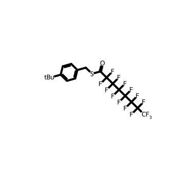 CC(C)(C)c1ccc(CSC(=O)C(F)(F)C(F)(F)C(F)(F)C(F)(F)C(F)(F)C(F)(F)C(F)(F)F)cc1